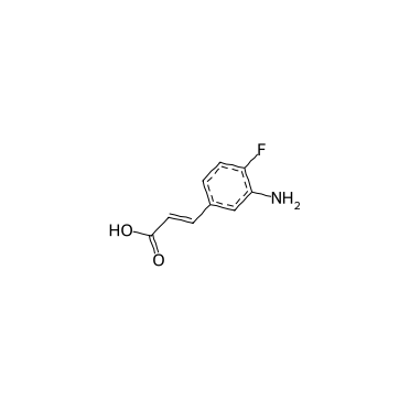 Nc1cc(C=CC(=O)O)ccc1F